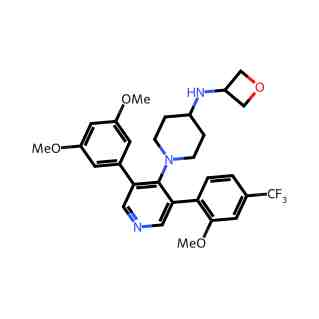 COc1cc(OC)cc(-c2cncc(-c3ccc(C(F)(F)F)cc3OC)c2N2CCC(NC3COC3)CC2)c1